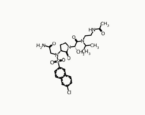 CC(=O)NCCN(C(=O)[C@H](C)N1CC[C@H](N(CC(N)=O)S(=O)(=O)c2ccc3cc(Cl)ccc3c2)C1=O)C(C)C